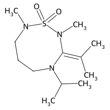 CC(C)=C1N(C(C)C)CCCN(C)S(=O)(=O)N1C